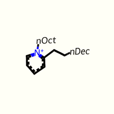 CCCCCCCCCCCCc1cccc[n+]1CCCCCCCC